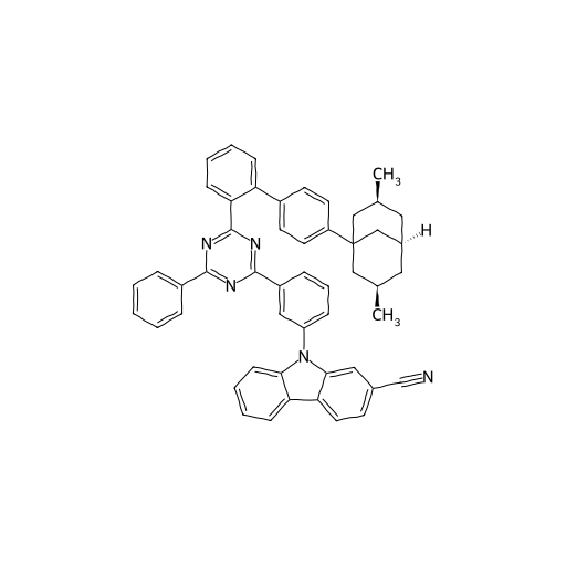 C[C@@H]1C[C@@H]2C[C@H](C)CC(c3ccc(-c4ccccc4-c4nc(-c5ccccc5)nc(-c5cccc(-n6c7ccccc7c7ccc(C#N)cc76)c5)n4)cc3)(C1)C2